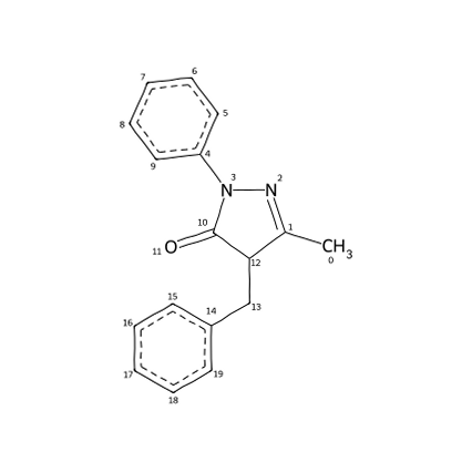 CC1=NN(c2ccccc2)C(=O)C1Cc1ccccc1